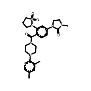 Cc1cnc(N2CCN(C(=O)c3ccc(N4CCN(C)C4=O)cc3N3CCCS3(=O)=O)CC2)c(C)c1